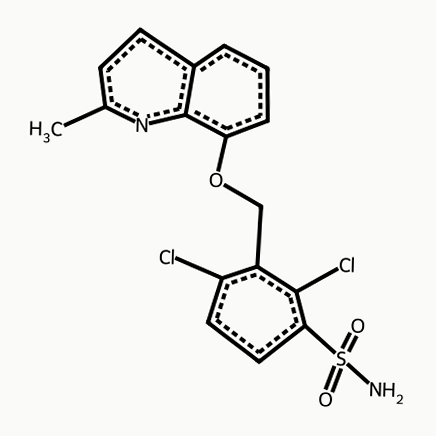 Cc1ccc2cccc(OCc3c(Cl)ccc(S(N)(=O)=O)c3Cl)c2n1